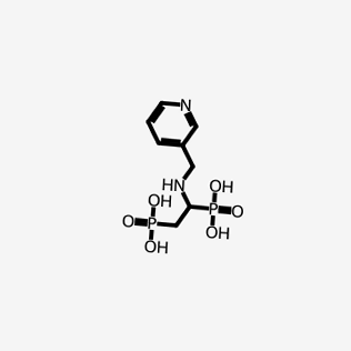 O=P(O)(O)CC(NCc1cccnc1)P(=O)(O)O